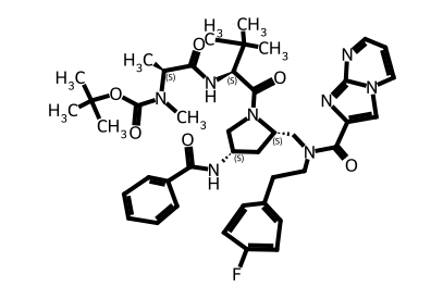 C[C@@H](C(=O)N[C@H](C(=O)N1C[C@@H](NC(=O)c2ccccc2)C[C@H]1CN(CCc1ccc(F)cc1)C(=O)c1cn2cccnc2n1)C(C)(C)C)N(C)C(=O)OC(C)(C)C